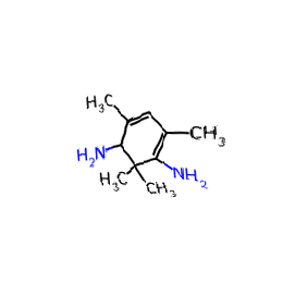 CC1=CC(C)=C(N)C(C)(C)C1N